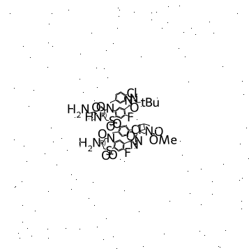 CC(C)(C)c1nnc(-c2cc3c(cc2F)S(=O)(=O)C[C@H](NC(=O)CN)C(=O)N3Cc2ccc(Cl)cc2)o1.COC(=O)N1CC2CC(c3nnc(-c4cc5c(cc4F)S(=O)(=O)C[C@H](N)C(=O)N5Cc4ccc(Cl)cc4)o3)(C2)C1